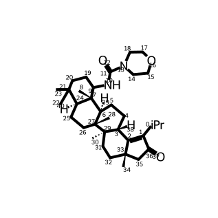 CC(C)C1=C2[C@H]3CC[C@@H]4[C@@]5(C)C(NC(=O)N6CCOCC6)CCC(C)(C)[C@@H]5CC[C@@]4(C)[C@]3(C)CC[C@@]2(C)CC1=O